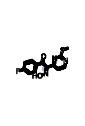 CSc1nccc(/C(=N/O)C(=O)c2ccc(F)cc2)n1